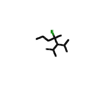 CCCC(C)(F)C(C(C)C)C(C)C